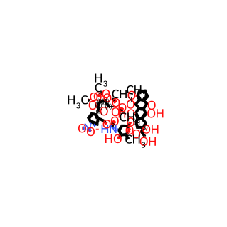 COc1cccc2c1C(=O)c1c(O)c3c(c(O)c1C2=O)C[C@@](O)(C(=O)CO)C[C@@H]3OC1CC(NC(=O)OCc2cc([N+](=O)[O-])ccc2[C@@H]2O[C@H](COC(C)=O)[C@H](OC(C)=O)[C@H](OC(C)=O)[C@H]2OC(C)=O)C(O)C(C)O1